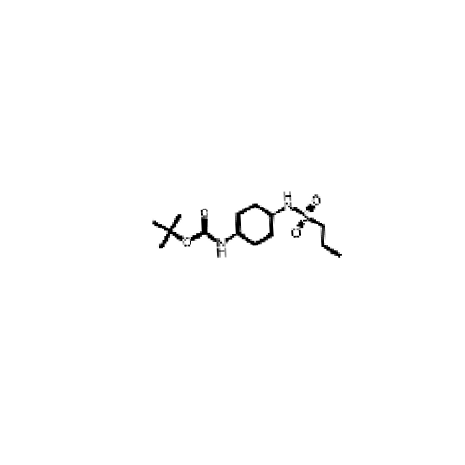 CCCS(=O)(=O)N[C@H]1CC[C@@H](NC(=O)OC(C)(C)C)CC1